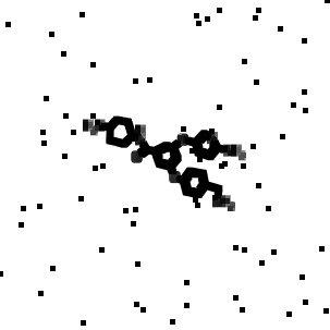 NCc1ccc(Oc2cc(Oc3ccc(N)nc3)cc(C(=O)NC3CCC(N)CC3)c2)cc1